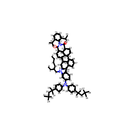 CCCCC(CC)Cn1c2cc(N(c3ccc(C(C)(C)CC(C)(C)C)cc3)c3ccc(C(C)(C)CC(C)(C)C)cc3)ccc2c2c3cccc4c5ccc6c7c(ccc(c(cc21)c43)c75)C(=O)N(c1c(C(C)C)cccc1C(C)C)C6=O